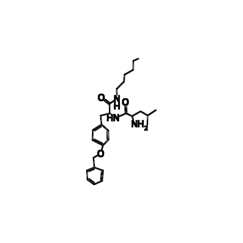 CCCCCCNC(=O)C(Cc1ccc(OCc2ccccc2)cc1)NC(=O)C(N)CC(C)C